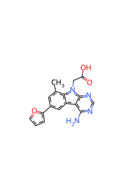 Cc1cc(-c2ccco2)cc2c3c(N)ncnc3n(CC(=O)O)c12